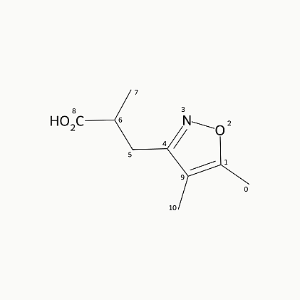 Cc1onc(CC(C)C(=O)O)c1C